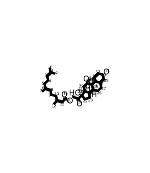 CC(C)=CCC/C(C)=C/CC/C(C)=C\C(=O)OCC(=O)[C@@]1(O)CC[C@H]2[C@@H]3CCC4=CC(=O)C=C[C@]4(C)[C@H]3C(O)C[C@@]21C